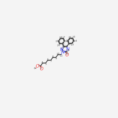 COC(=O)CCCCCCCCn1nc(-c2ccccc2)c(-c2ccccc2)nc1=O